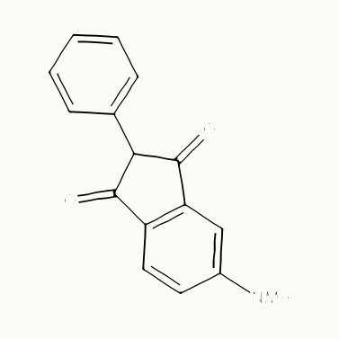 CNc1ccc2c(c1)C(=O)C(c1ccccc1)C2=O